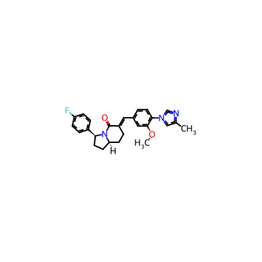 COc1cc(/C=C2\CC[C@H]3CC[C@@H](c4ccc(F)cc4)N3C2=O)ccc1-n1cnc(C)c1